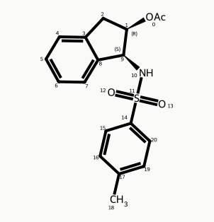 CC(=O)O[C@@H]1Cc2ccccc2[C@@H]1NS(=O)(=O)c1ccc(C)cc1